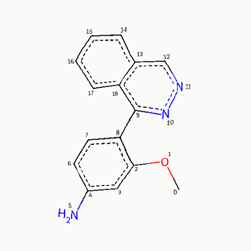 COc1cc(N)ccc1-c1nncc2ccccc12